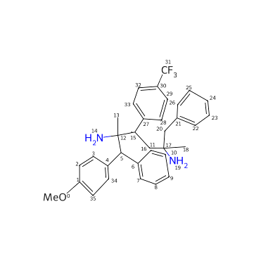 COc1ccc(C(c2ccccc2)C(C)(N)[C](CC(C)(N)Cc2ccccc2)c2ccc(C(F)(F)F)cc2)cc1